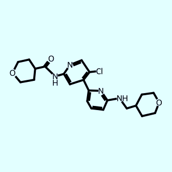 O=C(Nc1cc(-c2cccc(NCC3CCOCC3)n2)c(Cl)cn1)C1CCOCC1